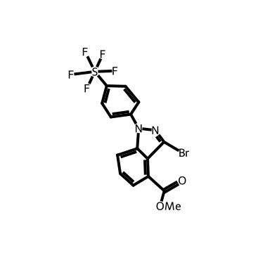 COC(=O)c1cccc2c1c(Br)nn2-c1ccc(S(F)(F)(F)(F)F)cc1